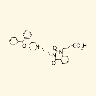 O=C(O)CCCn1c(=O)n(CCCCN2CCC(OC(c3ccccc3)c3ccccc3)CC2)c(=O)c2ccccc21